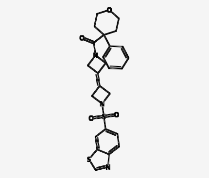 O=C(N1CC(=C2CN(S(=O)(=O)c3ccc4ncsc4c3)C2)C1)C1(c2ccccc2)CCOCC1